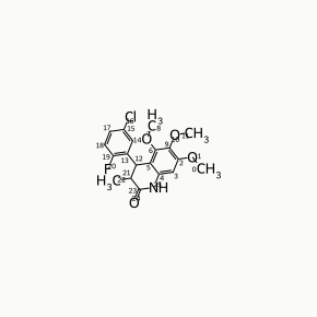 COc1cc2c(c(OC)c1OC)C(c1cc(Cl)ccc1F)C(C)C(=O)N2